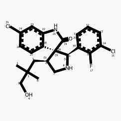 CC(C)(CO)C[C@@H]1CN[C@H](c2cccc(Cl)c2F)[C@]12C(=O)Nc1cc(Cl)ccc12